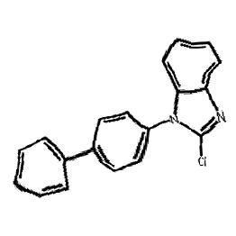 Clc1nc2ccccc2n1-c1ccc(-c2ccccc2)cc1